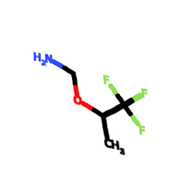 CC(OCN)C(F)(F)F